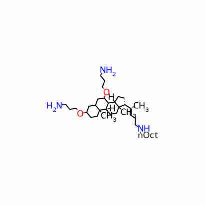 CCCCCCCCNCCC[C@@H](C)[C@H]1CC[C@H]2C3[C@H](OCCCN)CC4C[C@H](OCCCN)CCC4(C)[C@H]3CCC12C